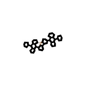 c1ccc(-c2c3ccccc3c(-c3ccc4sc5c(-c6c7ccccc7c(-c7ccccc7)c7ccccc67)cccc5c4c3)c3ccccc23)cc1